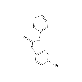 CCCc1ccc(OC(=O)Oc2ccccc2)cc1